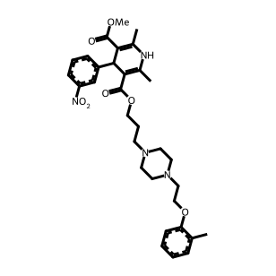 COC(=O)C1=C(C)NC(C)=C(C(=O)OCCCN2CCN(CCOc3ccccc3C)CC2)C1c1cccc([N+](=O)[O-])c1